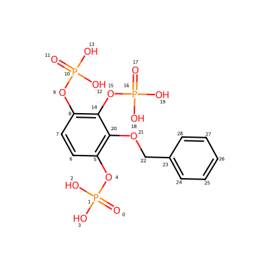 O=P(O)(O)Oc1ccc(OP(=O)(O)O)c(OP(=O)(O)O)c1OCc1ccccc1